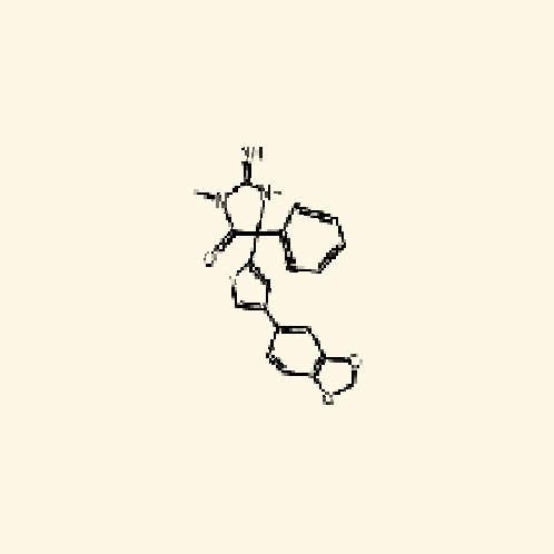 CN1C(=N)NC(c2ccccc2)(c2cc(-c3ccc4c(c3)OCO4)cs2)C1=O